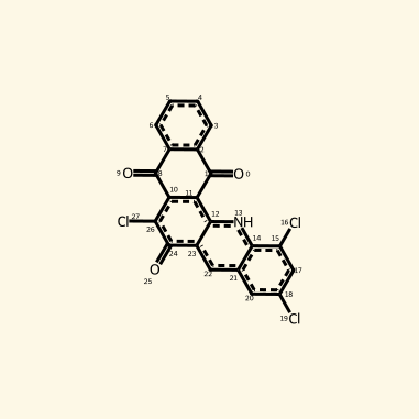 O=C1c2ccccc2C(=O)c2c1c1[nH]c3c(Cl)cc(Cl)cc3cc-1c(=O)c2Cl